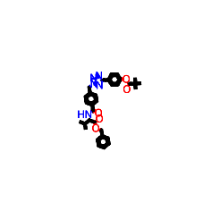 CC(C)[C@H](NC(=O)c1ccc(Cn2nnc(-c3ccc(OC(=O)C(C)(C)C)cc3)n2)cc1)C(=O)OCc1ccccc1